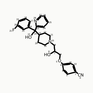 N#Cc1ccc(OCC(O)CN2CCC(C(O)(c3cccc(F)c3)c3ccccn3)CC2)cc1